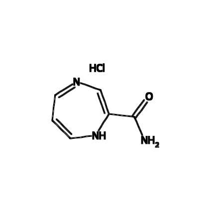 Cl.NC(=O)C1=CN=CC=CN1